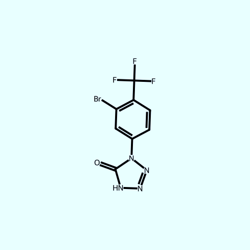 O=c1[nH]nnn1-c1ccc(C(F)(F)F)c(Br)c1